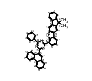 CC1(C)c2ccccc2-c2cc3oc4c(-c5nc(-c6ccccc6)nc(-c6cc7ccccc7c7ccccc67)n5)cccc4c3cc21